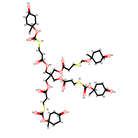 CC1(OCSCCC(=O)OCC(COC(=O)CCSC(=O)OC2(C)CCC(=O)CC2)(COC(=O)CCSC(=O)OC2(C)CCC(=O)CC2)COC(=O)CCSC(=O)OC2(C)CCC(=O)CC2)CCC(=O)CC1